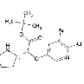 CC(C)(C)OC(=O)C(Oc1cnc(Cl)c(Br)c1)[C@@H]1CCCN1